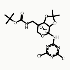 CC(C)(C)OC(=O)NCC12COC(Nc3nc(Cl)nc(Cl)n3)(CO1)C1OC(C)(C)OC12